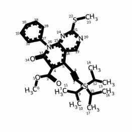 COC(=O)c1c(C#C[Si](C(C)C)(C(C)C)C(C)C)c2cnc(SC)nc2n(-c2ccccc2)c1=O